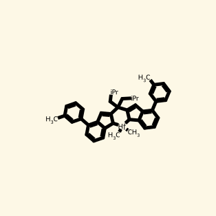 Cc1cccc(-c2cccc3c2C=C2[CH]3[Hf]([CH3])([CH3])[CH]3C(=Cc4c(-c5cccc(C)c5)cccc43)C2(CC(C)C)CC(C)C)c1